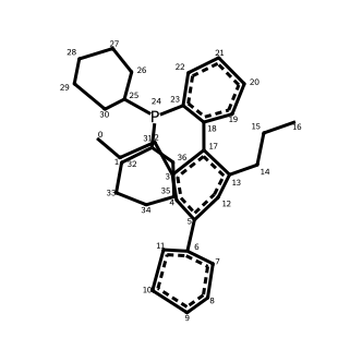 CCCc1cc(-c2ccccc2)cc(CCC)c1-c1ccccc1P(C1CCCCC1)C1CCCCC1